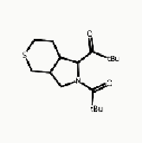 CC(C)(C)C(=O)C1C2CCSCC2CN1C(=O)C(C)(C)C